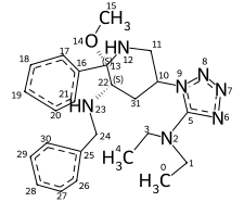 CCN(CC)c1nnnn1C1CN[C@](OC)(c2ccccc2)[C@@H](NCc2ccccc2)C1